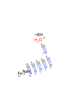 C#N.C#N.C#N.C#N.C#N.C#N.O.[Fe].[KH].[NaH]